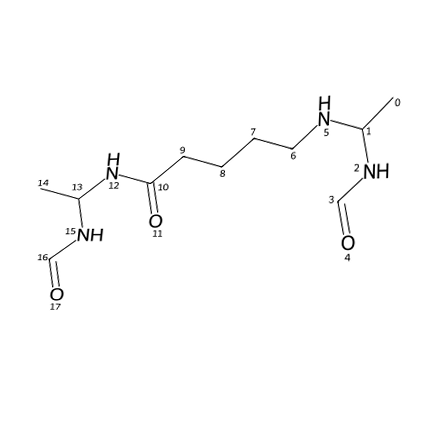 CC(NC=O)NCCCCC(=O)NC(C)NC=O